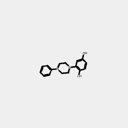 Oc1ccc(O)c(N2CCN(c3ccccc3)CC2)c1